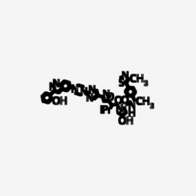 Cc1ncsc1-c1ccc([C@H](C)NC(=O)[C@@H]2C[C@@H](O)CN2C(=O)C(c2cc(-c3cnc(N4CCN(c5ccc6nnc(-c7ccccc7O)cc6c5)CC4)nc3)no2)C(C)C)cc1